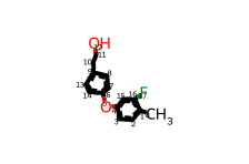 Cc1ccc(Oc2ccc(CCO)cc2)cc1F